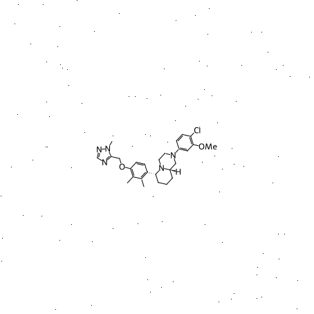 COc1cc(N2CCN3[C@@H](CCC[C@@H]3c3ccc(OCc4ncnn4C)c(C)c3C)C2)ccc1Cl